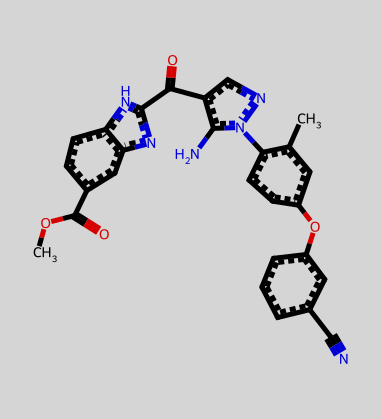 COC(=O)c1ccc2[nH]c(C(=O)c3cnn(-c4ccc(Oc5cccc(C#N)c5)cc4C)c3N)nc2c1